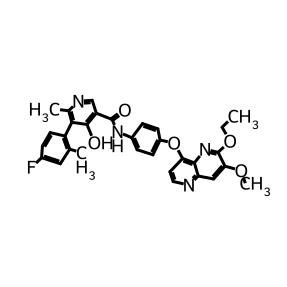 CCOc1nc2c(Oc3ccc(NC(=O)c4cnc(C)c(-c5ccc(F)cc5C)c4O)cc3)ccnc2cc1OC